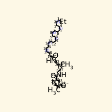 CC/C=C\C/C=C\C/C=C\C/C=C\C/C=C\C/C=C\CCC(=O)NCCN(C)CCNC(=O)c1c[n+]([O-])c(C)cn1